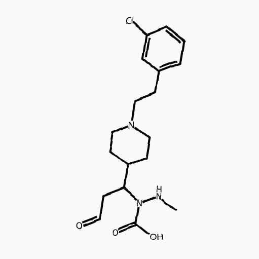 CNN(C(=O)O)C(CC=O)C1CCN(CCc2cccc(Cl)c2)CC1